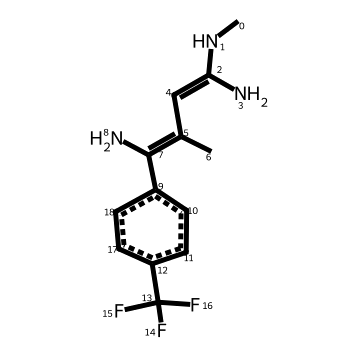 CN/C(N)=C/C(C)=C(\N)c1ccc(C(F)(F)F)cc1